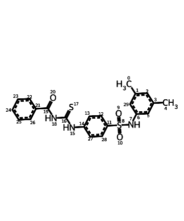 Cc1cc(C)cc(NS(=O)(=O)c2ccc(NC(=S)NC(=O)c3ccccc3)cc2)c1